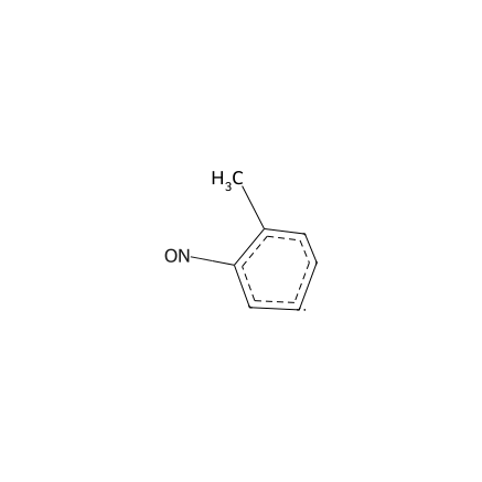 Cc1cc[c]cc1N=O